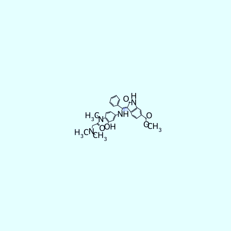 COC(=O)c1ccc2c(c1)NC(=O)/C2=C(/Nc1ccc(N(C)C(=O)CN(C)C)c(O)c1)c1ccccc1